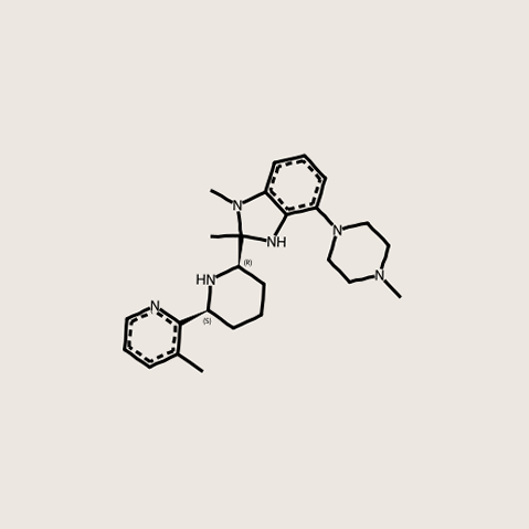 Cc1cccnc1[C@@H]1CCC[C@H](C2(C)Nc3c(N4CCN(C)CC4)cccc3N2C)N1